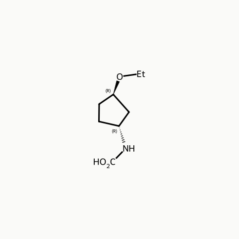 CCO[C@@H]1CC[C@@H](NC(=O)O)C1